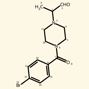 CC(C=O)N1CCN(C(=O)c2ccc(Br)cc2)CC1